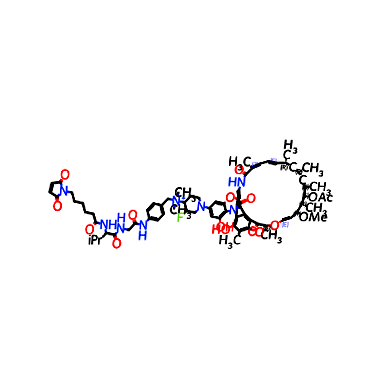 CO[C@H]1/C=C/O[C@@]2(C)Oc3c(C)c(O)c4c(=O)c(c5oc6cc(N7CCC([N+](C)(C)Cc8ccc(NC(=O)CNC(=O)C(NC(=O)CCCCCN9C(=O)C=CC9=O)C(C)C)cc8)C(F)C7)cc(O)c6nc-5c4c3C2=O)NC(=O)/C(C)=C\C=C\[C@H](C)C[C@@H](C)C[C@@H](C)[C@H](OC(C)=O)[C@@H]1C